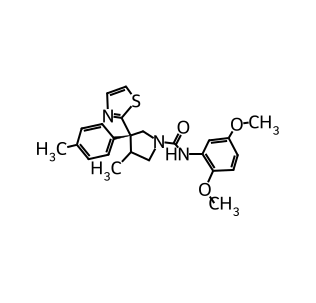 COc1ccc(OC)c(NC(=O)N2CC(C)[C@](c3ccc(C)cc3)(c3nccs3)C2)c1